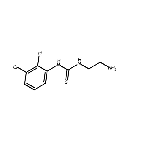 NCCNC(=S)Nc1cccc(Cl)c1Cl